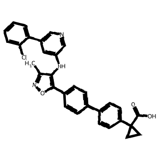 Cc1noc(-c2ccc(-c3ccc(C4(C(=O)O)CC4)cc3)cc2)c1Nc1cncc(-c2ccccc2Cl)c1